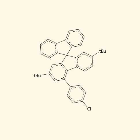 CC(C)(C)c1ccc2c(c1)C1(c3ccccc3-c3ccccc31)c1cc(C(C)(C)C)cc(-c3ccc(Cl)cc3)c1-2